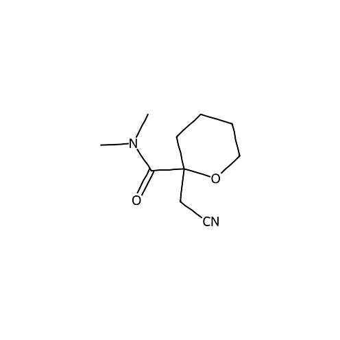 CN(C)C(=O)C1(CC#N)CCCCO1